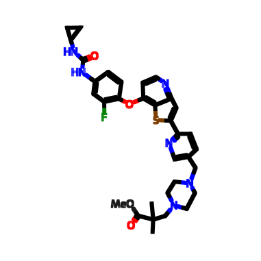 COC(=O)C(C)(C)CN1CCN(Cc2ccc(-c3cc4nccc(Oc5ccc(NC(=O)NC6CC6)cc5F)c4s3)nc2)CC1